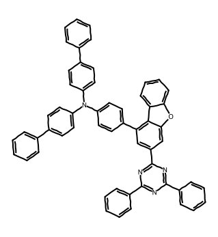 c1ccc(-c2ccc(N(c3ccc(-c4ccccc4)cc3)c3ccc(-c4cc(-c5nc(-c6ccccc6)nc(-c6ccccc6)n5)cc5oc6ccccc6c45)cc3)cc2)cc1